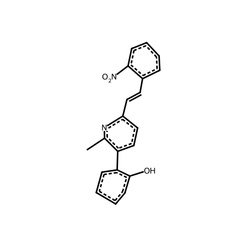 Cc1nc(C=Cc2ccccc2[N+](=O)[O-])ccc1-c1ccccc1O